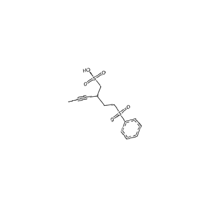 CC#CC(CCS(=O)(=O)c1ccccc1)CS(=O)(=O)O